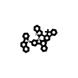 CC1(C)c2ccccc2-c2cccc(-c3cc4ccccc4nc3-n3c4cc(-n5c6ccccc6c6ccc7ccccc7c65)ccc4c4c5ccccc5ccc43)c21